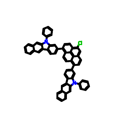 Clc1cc2ccc(-c3ccc4c5cc6ccccc6cc5n(-c5ccccc5)c4c3)c3ccc4c(-c5ccc6c7cc8ccccc8cc7n(-c7ccccc7)c6c5)ccc1c4c23